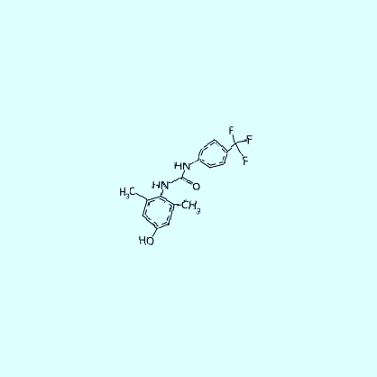 Cc1cc(O)cc(C)c1NC(=O)Nc1ccc(C(F)(F)F)cc1